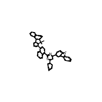 CC1(C)c2ccc3ccccc3c2-c2cccc(-c3ccc(-c4nc(-c5ccccc5)cc(-c5ccc6sc7ccccc7c6c5)n4)c4ccccc34)c21